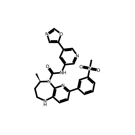 C[C@@H]1CCNc2ccc(-c3cccc(S(C)(=O)=O)c3)nc2N1C(=O)Nc1cncc(-c2cnco2)c1